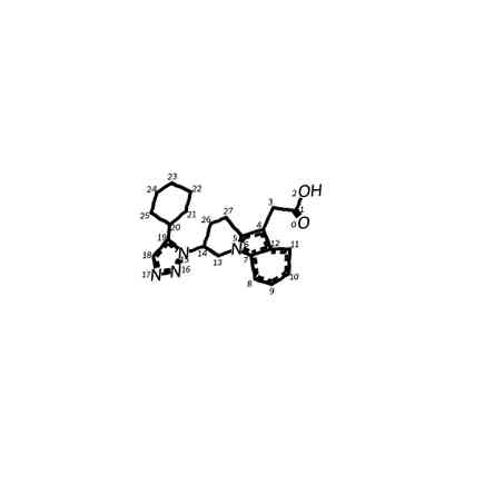 O=C(O)Cc1c2n(c3ccccc13)CC(n1nncc1C1CCCCC1)CC2